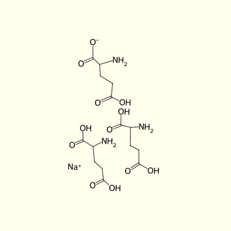 NC(CCC(=O)O)C(=O)O.NC(CCC(=O)O)C(=O)O.NC(CCC(=O)O)C(=O)[O-].[Na+]